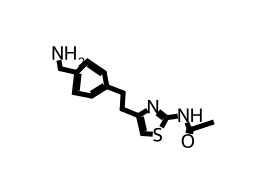 CC(=O)Nc1nc(CCc2ccc(CN)cc2)cs1